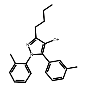 CCCCc1nn(-c2ccccc2C)c(-c2cccc(C)c2)c1O